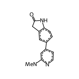 CNc1cc(-c2ccc3c(c2)CC(=O)N3)ccn1